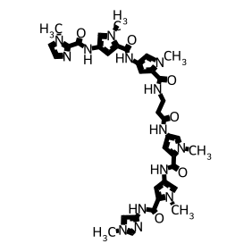 Cn1cnc(NC(=O)c2cc(NC(=O)c3cc(NC(=O)CCNC(=O)c4cc(NC(=O)c5cc(NC(=O)c6nccn6C)cn5C)cn4C)cn3C)cn2C)c1